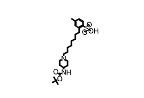 Cc1ccc(S(=O)(=O)O)c(CCCCCCCCN2CCC(NC(=O)OC(C)(C)C)CC2)c1